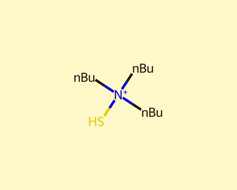 CCCC[N+](S)(CCCC)CCCC